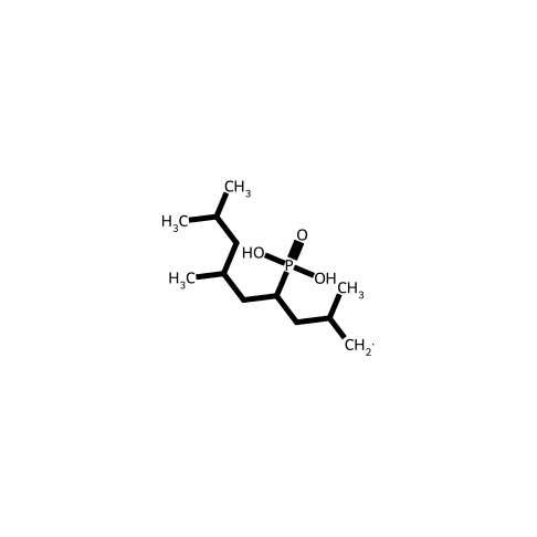 [CH2]C(C)CC(CC(C)CC(C)C)P(=O)(O)O